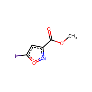 COC(=O)c1cc(I)on1